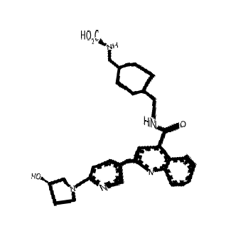 O=C(O)NCC1CCC(CNC(=O)c2cc(-c3ccc(N4CC[C@@H](O)C4)nc3)nc3ccccc23)CC1